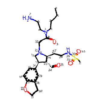 CCCCN(CCN)C(=O)CN1C[C@H](c2ccc3c(c2)CCO3)[C@@H](C=O)[C@@H]1CCNS(C)(=O)=O